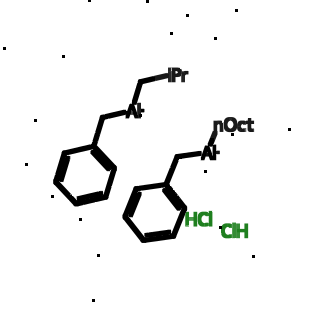 CC(C)[CH2][Al][CH2]c1ccccc1.CCCCCCC[CH2][Al][CH2]c1ccccc1.Cl.Cl